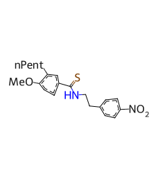 CCCCCc1cc(C(=S)NCCc2ccc([N+](=O)[O-])cc2)ccc1OC